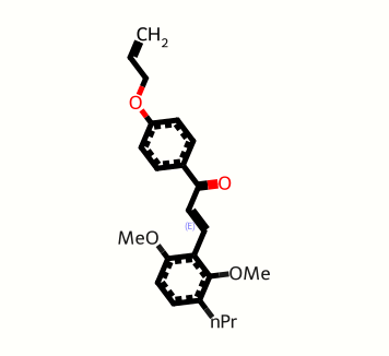 C=CCOc1ccc(C(=O)/C=C/c2c(OC)ccc(CCC)c2OC)cc1